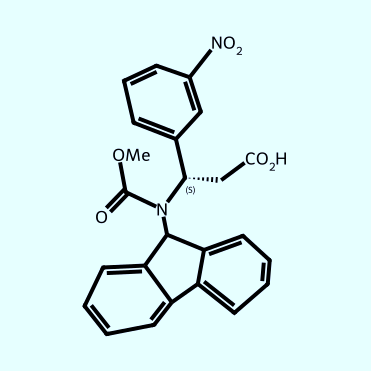 COC(=O)N(C1c2ccccc2-c2ccccc21)[C@@H](CC(=O)O)c1cccc([N+](=O)[O-])c1